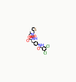 CC(C)N(Cc1cccs1)S(=O)(=O)N[C@@H](Cc1ccc(NC(=O)c2cc(Cl)cc(Cl)c2)cc1)C(=O)O